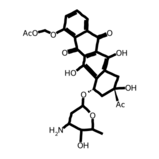 CC(=O)OCOc1cccc2c1C(=O)c1c(O)c3c(c(O)c1C2=O)C[C@@](O)(C(C)=O)C[C@@H]3OC1CC(N)C(O)C(C)O1